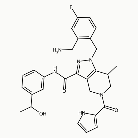 CC(O)c1cccc(NC(=O)c2nn(Cc3ccc(F)cc3CN)c3c2CN(C(=O)c2ccc[nH]2)CC3C)c1